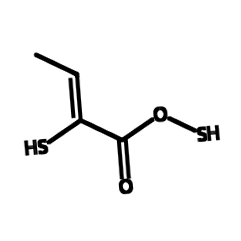 CC=C(S)C(=O)OS